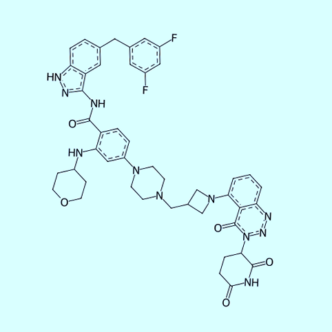 O=C1CCC(n2nnc3cccc(N4CC(CN5CCN(c6ccc(C(=O)Nc7n[nH]c8ccc(Cc9cc(F)cc(F)c9)cc78)c(NC7CCOCC7)c6)CC5)C4)c3c2=O)C(=O)N1